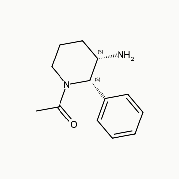 CC(=O)N1CCC[C@H](N)[C@@H]1c1ccccc1